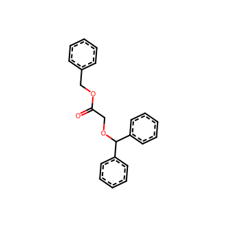 O=C(COC(c1ccccc1)c1ccccc1)OCc1ccccc1